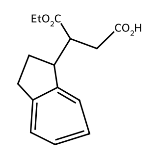 CCOC(=O)C(CC(=O)O)C1CCc2ccccc21